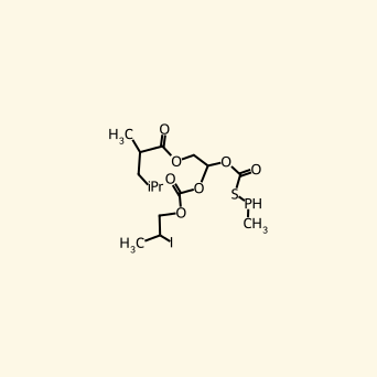 CPSC(=O)OC(COC(=O)C(C)CC(C)C)OC(=O)OCC(C)I